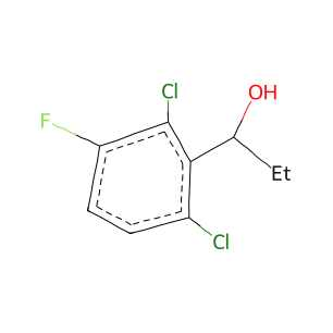 CCC(O)c1c(Cl)ccc(F)c1Cl